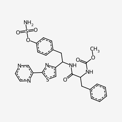 COC(=O)NC(Cc1ccccc1)C(=O)NC(Cc1ccc(OS(N)(=O)=O)cc1)c1csc(-c2cnccn2)n1